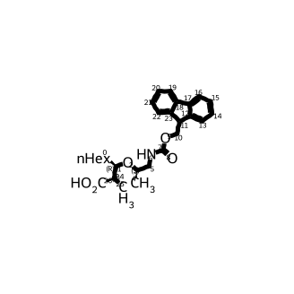 CCCCCC[C@@H](O[C@@H](C)CNC(=O)OCC1c2ccccc2-c2ccccc21)[C@@H](C)C(=O)O